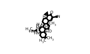 CNC(=N)N[C@]12CCC(C)(C)C[C@H]1[C@H]1C(=O)C=C3[C@@]4(C)C=C(C#N)C(=O)C5(CC5)[C@@H]4CC[C@@]3(C)[C@]1(C)CC2